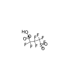 O=S(=O)(O)C(F)(F)C(F)(F)C(F)(F)S(=O)(=O)F